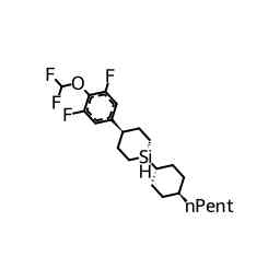 CCCCC[C@H]1CC[C@H]([Si@H]2CC[C@H](c3cc(F)c(OC(F)F)c(F)c3)CC2)CC1